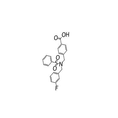 O=C(O)c1ccc(CN(Cc2cccc(F)c2)S(=O)(=O)c2ccccc2)cc1